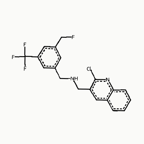 FCc1cc(CNCc2cc3ccccc3nc2Cl)cc(C(F)(F)F)c1